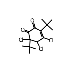 CC(C)(C)C1=C(Cl)C(Cl)C(Cl)(C(C)(C)C)C(=O)C1=O